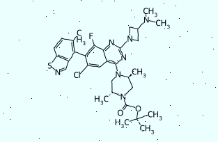 Cc1ccc2sncc2c1-c1c(Cl)cc2c(N3C[C@@H](C)N(C(=O)OC(C)(C)C)C[C@@H]3C)nc(N3CC(N(C)C)C3)nc2c1F